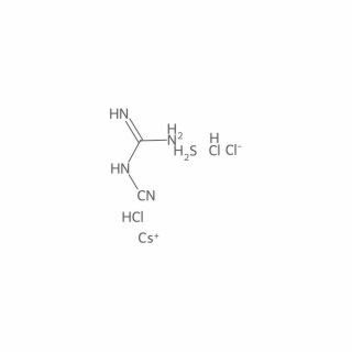 Cl.Cl.N#CNC(=N)N.S.[Cl-].[Cs+]